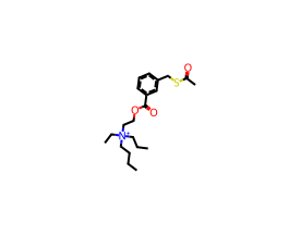 CCCC[N+](CC)(CCC)CCOC(=O)c1cccc(CSC(C)=O)c1